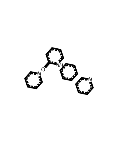 O=c1cccc[nH]1.c1ccccc1.c1ccncc1.c1ccncc1